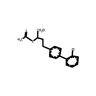 CCOC(=O)C(CCc1ccc(-c2ccccc2Cl)cc1)SC(C)=S